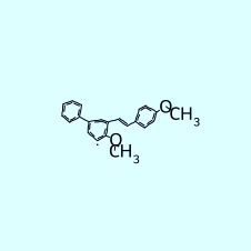 COc1ccc(C=Cc2cc(-c3ccccc3)c[c]c2OC)cc1